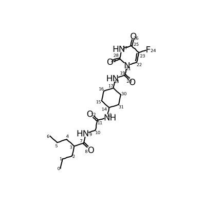 CCCC(CCC)C(=O)NCC(=O)NC1CCC(NC(=O)n2cc(F)c(=O)[nH]c2=O)CC1